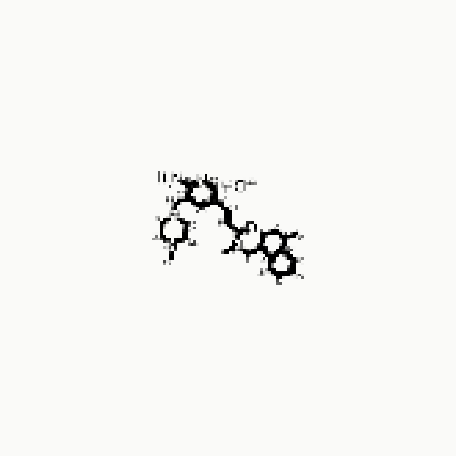 Cc1ccc(CN(C)C(=O)/C=C/c2cnc(N)c(CN3CCN(C)CC3)c2)c2ccccc12.Cl